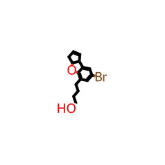 OCCCCc1cc(Br)cc2c1OC1CC=CC21